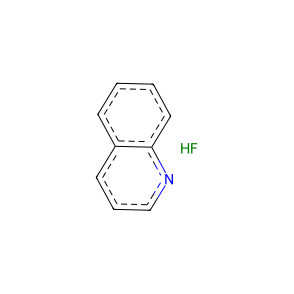 F.c1ccc2ncccc2c1